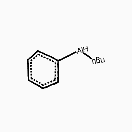 CCC[CH2][AlH][c]1ccccc1